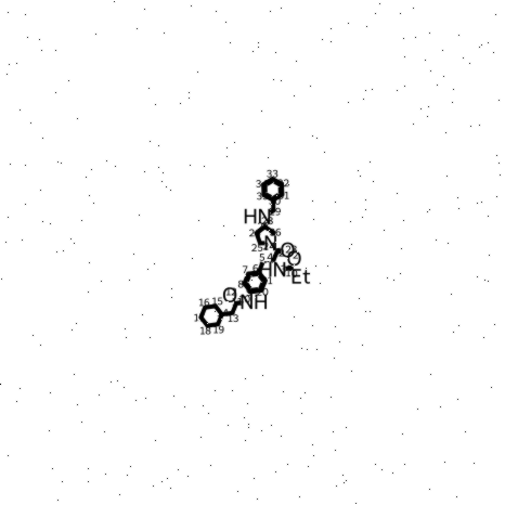 CCC(=O)N[C@H](Cc1ccc(NC(=O)CC2CCCCC2)cc1)C(=O)N1CC[C@@H](NCc2ccccc2)C1